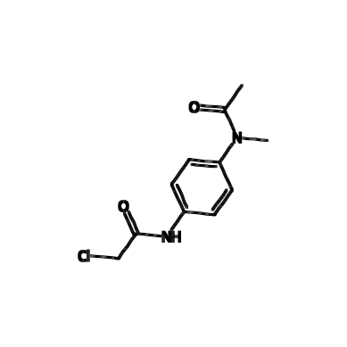 CC(=O)N(C)c1ccc(NC(=O)CCl)cc1